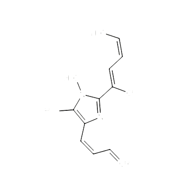 C=C/C=C\c1nc(/C(C)=C/C=C\C)n(C)c1C